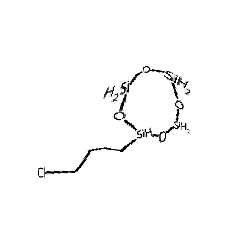 ClCCC[SiH]1O[SiH2]O[SiH2]O[SiH2]O1